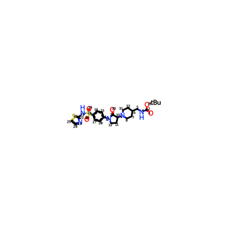 CC(C)(C)OC(=O)NCC1CCN(C2CCN(c3ccc(S(=O)(=O)Nc4nccs4)cc3)C2=O)CC1